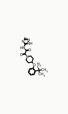 CC(C)(C)c1ccccc1OC1CCN(C(=O)C(=O)Nc2nnn[nH]2)CC1